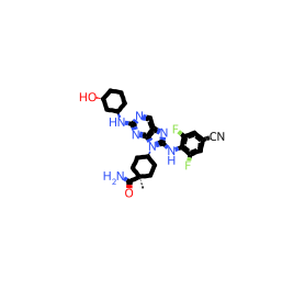 C[C@]1(C(N)=O)CC[C@H](n2c(Nc3c(F)cc(C#N)cc3F)nc3cnc(N[C@@H]4CCC[C@@H](O)C4)nc32)CC1